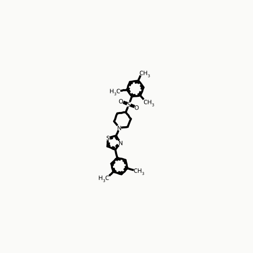 Cc1cc(C)cc(-c2csc(N3CCC(S(=O)(=O)c4c(C)cc(C)cc4C)CC3)n2)c1